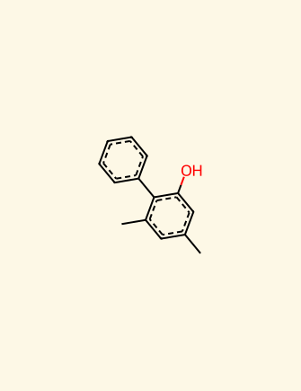 Cc1cc(C)c(-c2ccccc2)c(O)c1